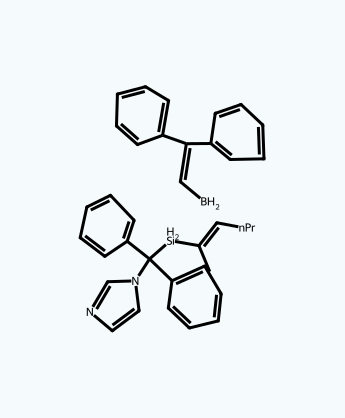 BC=C(c1ccccc1)c1ccccc1.CCCC=C(C)[SiH2]C(c1ccccc1)(c1ccccc1)n1ccnc1